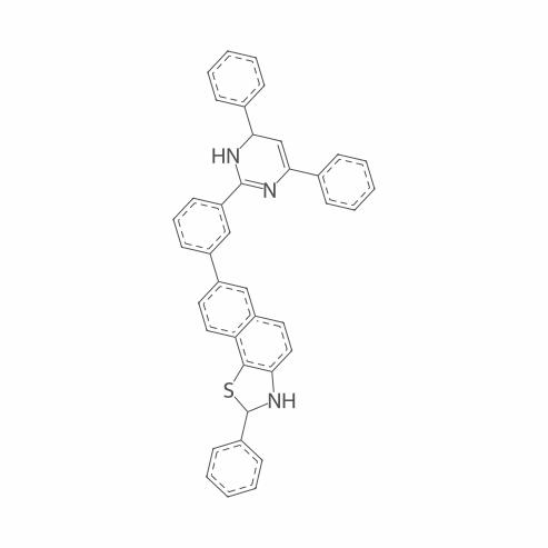 C1=C(c2ccccc2)N=C(c2cccc(-c3ccc4c5c(ccc4c3)NC(c3ccccc3)S5)c2)NC1c1ccccc1